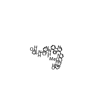 COc1nc(-c2ccnc(-c3cccc(Nc4nccc(CNC[C@@H]5CCC(=O)N5)c4C(F)(F)F)c3Cl)c2Cl)ccc1CNC[C@H]1CCC(=O)N1